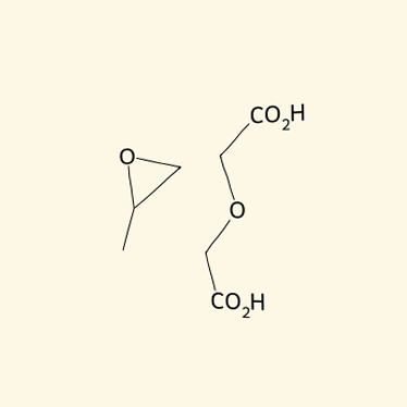 CC1CO1.O=C(O)COCC(=O)O